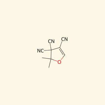 CC1(C)OC=C(C#N)C1(C#N)C#N